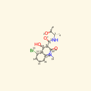 CC(=O)[C@H](C)NC(=O)c1c(O)c2c(Br)cccc2n(C)c1=O